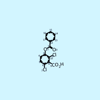 O=C(Oc1ccc(Cl)c(C(=O)O)c1Cl)c1ccccc1